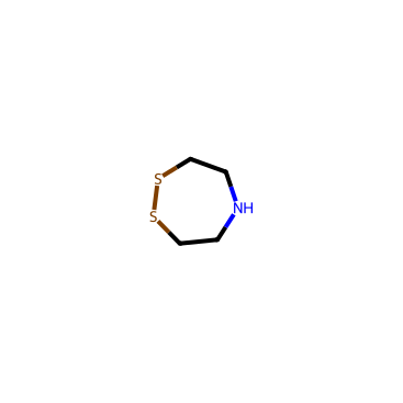 C1CSSCCN1